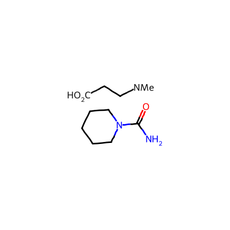 CNCCC(=O)O.NC(=O)N1CCCCC1